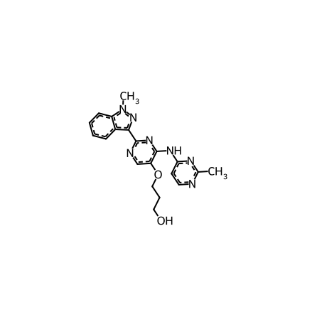 Cc1nccc(Nc2nc(-c3nn(C)c4ccccc34)ncc2OCCCO)n1